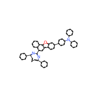 C1=C/C(c2ccccc2)=N\C(c2cc3c4ccc(-c5ccc(N(c6ccccc6)c6ccccc6)cc5)cc4oc3c3ccccc23)=N/C(c2ccccc2)=C/1